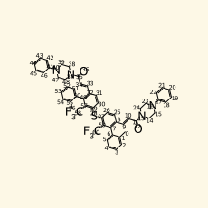 Cc1ccccc1-c1c(/C=C/C(=O)N2CCN(c3ccccc3)CC2)ccc(Sc2ccc(/C=C/C(=O)N3CCN(c4ccccc4)CC3)c(-c3ccccc3C)c2C(F)(F)F)c1C(F)(F)F